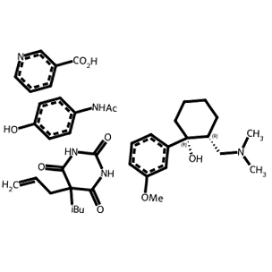 C=CCC1(C(C)CC)C(=O)NC(=O)NC1=O.CC(=O)Nc1ccc(O)cc1.COc1cccc([C@@]2(O)CCCC[C@@H]2CN(C)C)c1.O=C(O)c1cccnc1